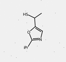 CC(C)c1ncc(C(C)S)o1